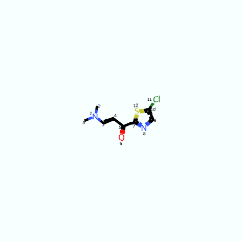 CN(C)/C=C/C(=O)c1ncc(Cl)s1